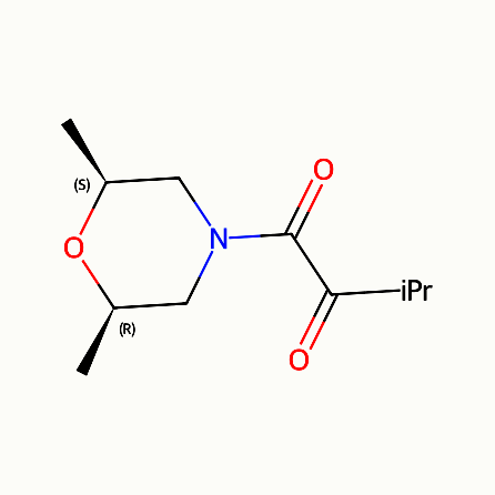 CC(C)C(=O)C(=O)N1C[C@@H](C)O[C@@H](C)C1